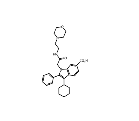 O=C(Cn1c(-c2ccccc2)c(C2CCCCC2)c2ccc(C(=O)O)cc21)NCCN1CCOCC1